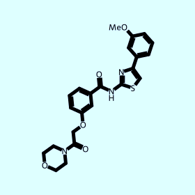 COc1cccc(-c2csc(NC(=O)c3cccc(OCC(=O)N4CCOCC4)c3)n2)c1